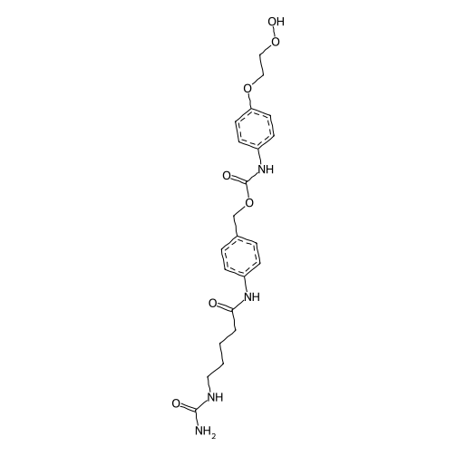 NC(=O)NCCCCC(=O)Nc1ccc(COC(=O)Nc2ccc(OCCOO)cc2)cc1